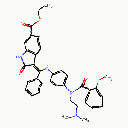 CCOC(=O)c1ccc2c(c1)NC(=O)/C2=C(/Nc1ccc(N(CCN(C)C)C(=O)c2ccccc2OC)cc1)c1ccccc1